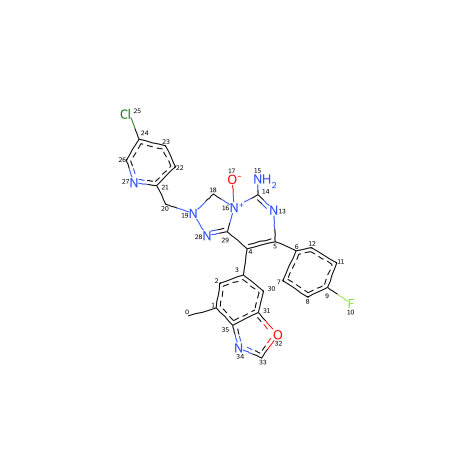 Cc1cc(C2=C(c3ccc(F)cc3)N=C(N)[N+]3([O-])CN(Cc4ccc(Cl)cn4)N=C23)cc2ocnc12